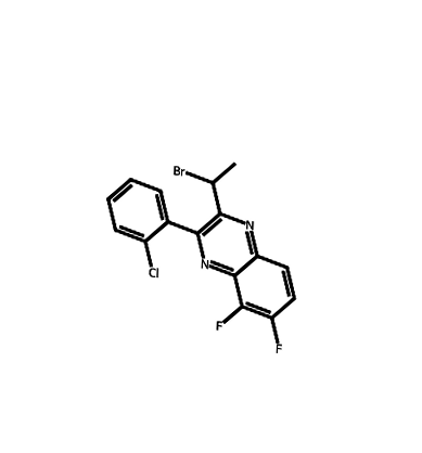 CC(Br)c1nc2ccc(F)c(F)c2nc1-c1ccccc1Cl